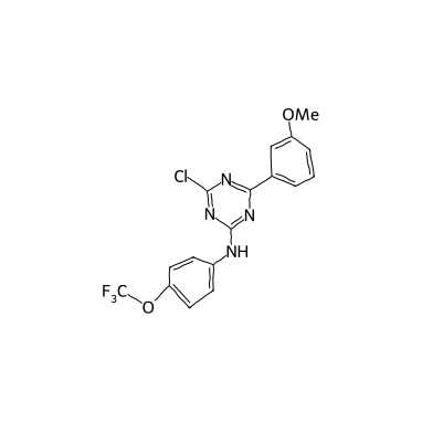 COc1cccc(-c2nc(Cl)nc(Nc3ccc(OC(F)(F)F)cc3)n2)c1